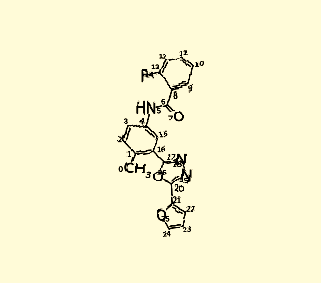 Cc1ccc(NC(=O)c2ccccc2F)cc1-c1nnc(-c2ccco2)o1